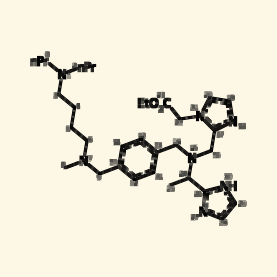 CCCN(CCC)CCCCN(C)Cc1ccc(CN(Cc2nccn2CC(=O)OCC)C(C)c2ncc[nH]2)cc1